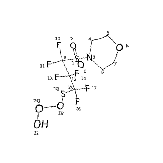 O=S(=O)(N1CCOCC1)C(F)(F)C(F)(F)C(F)(F)SOOO